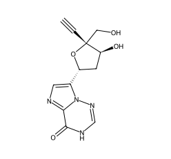 C#C[C@]1(CO)O[C@@H](c2cnc3c(=O)[nH]cnn23)C[C@@H]1O